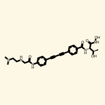 C[C@@H](O)[C@H](NC(=O)c1ccc(C#CC#Cc2ccc(NC(=O)CNCCN(C)C)cc2)cc1)C(=O)NO